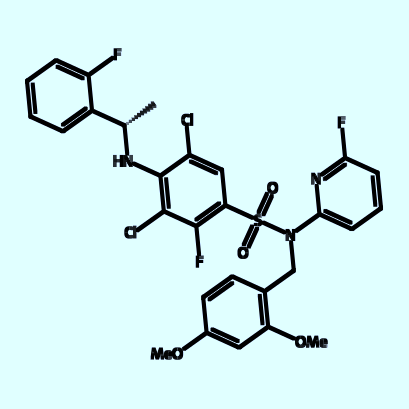 COc1ccc(CN(c2cccc(F)n2)S(=O)(=O)c2cc(Cl)c(N[C@@H](C)c3ccccc3F)c(Cl)c2F)c(OC)c1